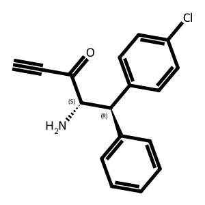 C#CC(=O)[C@@H](N)[C@H](c1ccccc1)c1ccc(Cl)cc1